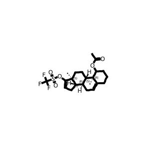 CC(=O)OC1CCCC2=CC[C@H]3[C@@H]4CC=C(OS(=O)(=O)C(F)(F)F)[C@@]4(C)CC[C@@H]3[C@]21C